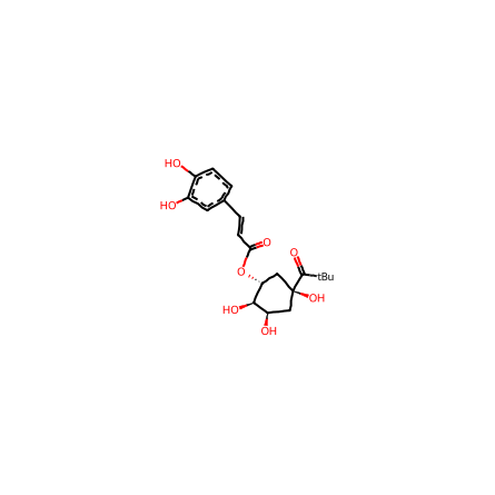 CC(C)(C)C(=O)[C@]1(O)C[C@@H](O)[C@@H](O)[C@H](OC(=O)/C=C/c2ccc(O)c(O)c2)C1